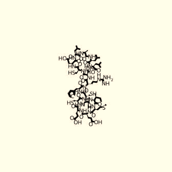 CC[C@H](C)[C@H](NC(=O)CN)C(=O)N[C@@H](CCSC)C(=O)N[C@@H](CCC(=O)O)C(=O)N[C@@H](CCC(=O)O)C(=O)N[C@@H](CS)C(=O)N[C@@H](CS)C(=O)N[C@@H](Cc1ccccc1)C(=O)N[C@@H](CCCNC(=N)N)C(=O)N[C@@H](CO)C(=O)N[C@@H](CS)C(=O)N[C@@H](CC(=O)O)C(=O)N[C@@H](CC(C)C)C(=O)N[C@@H](C)C(=O)N[C@@H](CC(C)C)C(=O)N[C@@H](CC(C)C)C(=O)O